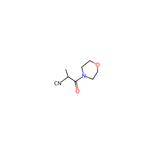 [C-]#[N+]C(C)C(=O)N1CCOCC1